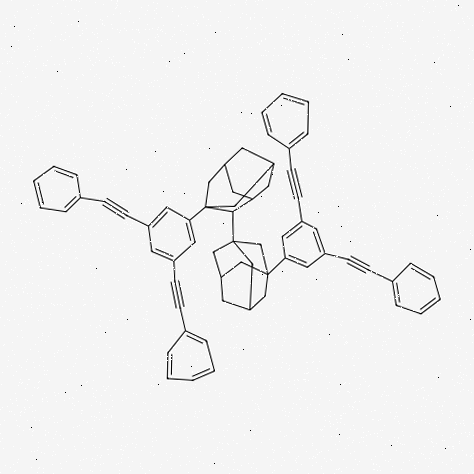 C(#Cc1cc(C#Cc2ccccc2)cc(C23CC4CC(C2)CC(C2C5CC6CC(C5)CC2(c2cc(C#Cc5ccccc5)cc(C#Cc5ccccc5)c2)C6)(C4)C3)c1)c1ccccc1